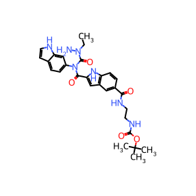 CCN(N)C(=O)N(C(=O)c1cc2cc(C(=O)NCCNC(=O)OC(C)(C)C)ccc2[nH]1)c1ccc2cc[nH]c2c1